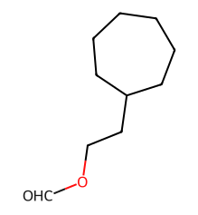 O=COCCC1CCCCCC1